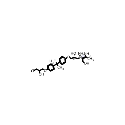 C/C(N)=C(\CO)N(N)C[C@@H](O)COc1ccc(C(C)(C)c2ccc(OCC(O)CCl)cc2)cc1